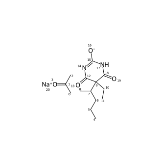 CC(C)=O.CCCC(C)C1(CC)C(=O)N=C([O-])NC1=O.[Na+]